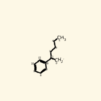 [CH2]C(CCCC)c1[c]cccc1